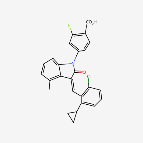 Cc1cccc2c1C(=Cc1c(Cl)cccc1C1CC1)C(=O)N2c1ccc(C(=O)O)c(F)c1